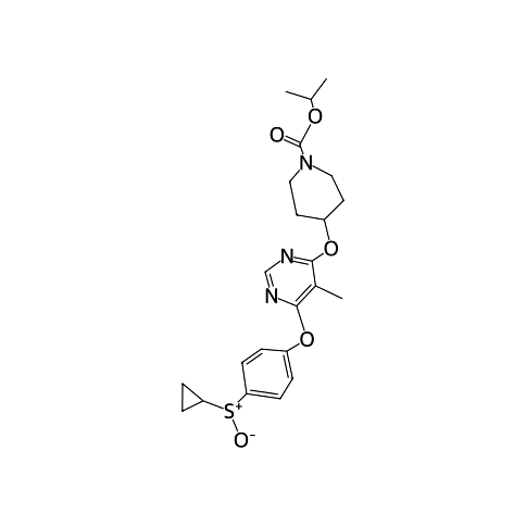 Cc1c(Oc2ccc([S+]([O-])C3CC3)cc2)ncnc1OC1CCN(C(=O)OC(C)C)CC1